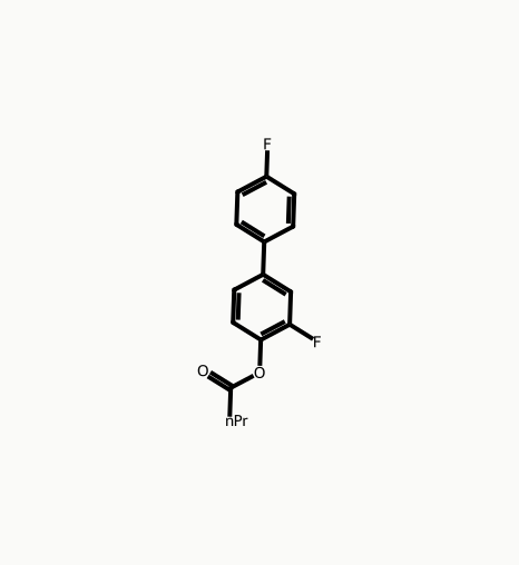 CCCC(=O)Oc1ccc(-c2ccc(F)cc2)cc1F